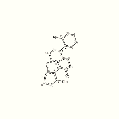 O=c1ccn2c(-c3ccccc3F)cccc2c1-c1c(Cl)cccc1Cl